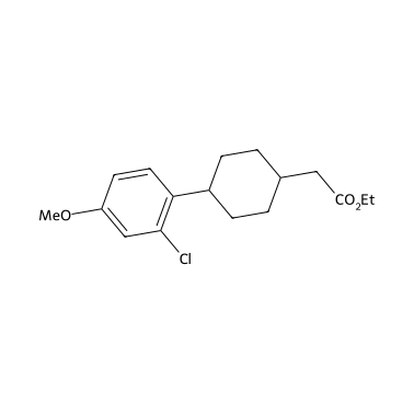 CCOC(=O)CC1CCC(c2ccc(OC)cc2Cl)CC1